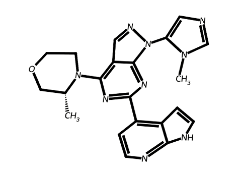 C[C@@H]1COCCN1c1nc(-c2ccnc3[nH]ccc23)nc2c1cnn2-c1cncn1C